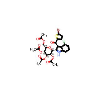 CC(=O)OC[C@H]1O[C@@H](c2[nH]c3cccc(Cl)c3c2C(=O)c2ccc(Br)s2)[C@H](OC(C)=O)[C@@H](OC(C)=O)[C@@H]1OC(C)=O